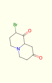 O=C1CCN2CCC(Br)C(=O)C2C1